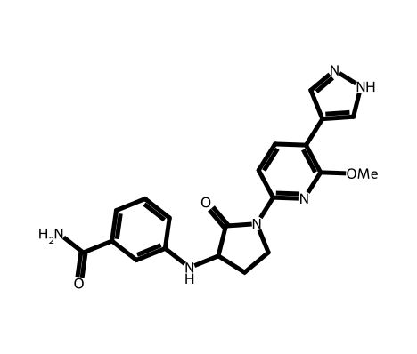 COc1nc(N2CCC(Nc3cccc(C(N)=O)c3)C2=O)ccc1-c1cn[nH]c1